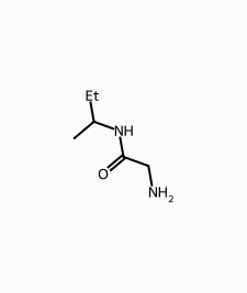 CCC(C)NC(=O)CN